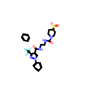 O=C(NCCNC(=O)N1CCC(=S(=O)=O)CC1)c1cn(-c2ccccc2)nc1C(F)(F)F.c1ccccc1